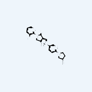 O=C1c2cn(-c3ccc(N4CC[C@@H](F)C4)nc3)nc2CN1c1ncccc1O